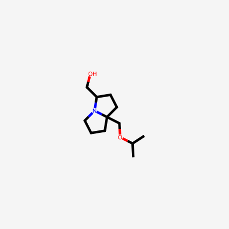 CC(C)OCC12CCCN1C(CO)CC2